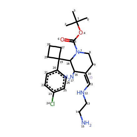 CC(C)(C)OC(=O)N1CC/C(=C/NCCN)C(N)C1C1(c2ccc(Cl)cc2)CCC1